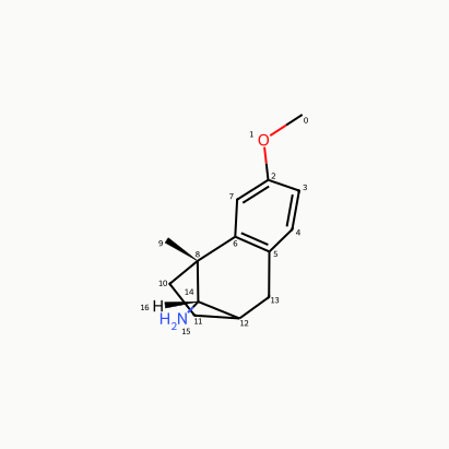 COc1ccc2c(c1)[C@@]1(C)CCC(C2)[C@@H]1N